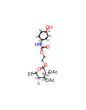 CC[C@H]1O[C@@H](OCCOC(=O)Nc2ccc(O)cc2)[C@H](OC(C)=O)[C@@H](OC(C)=O)[C@@H]1C